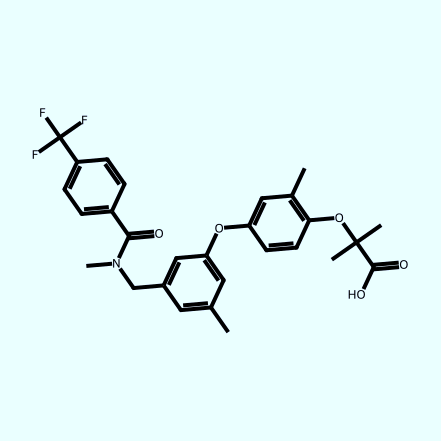 Cc1cc(CN(C)C(=O)c2ccc(C(F)(F)F)cc2)cc(Oc2ccc(OC(C)(C)C(=O)O)c(C)c2)c1